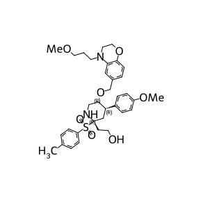 COCCCN1CCOc2ccc(CO[C@H]3CN[C@@](CCO)(S(=O)(=O)c4ccc(C)cc4)C[C@@H]3c3ccc(OC)cc3)cc21